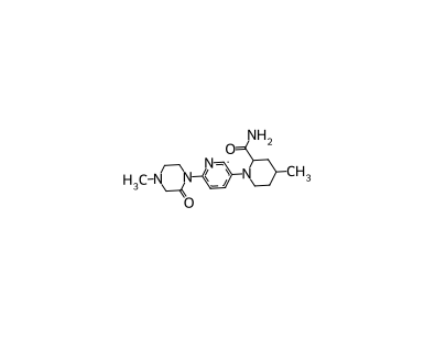 CC1CCN(c2[c]nc(N3CCN(C)CC3=O)cc2)C(C(N)=O)C1